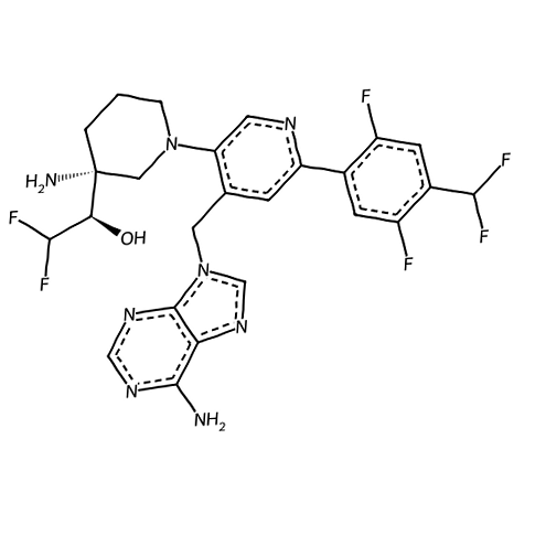 Nc1ncnc2c1ncn2Cc1cc(-c2cc(F)c(C(F)F)cc2F)ncc1N1CCC[C@](N)([C@@H](O)C(F)F)C1